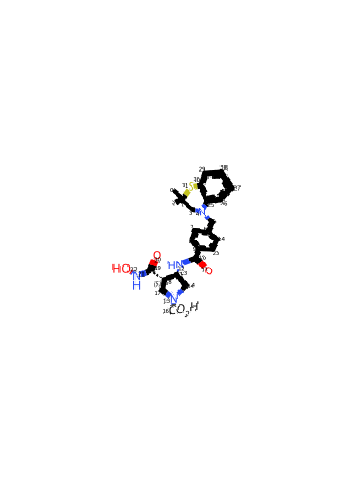 CC1(C)CN(Cc2ccc(C(=O)N[C@@H]3CN(C(=O)O)C[C@@H]3C(=O)NO)cc2)c2ccccc2S1